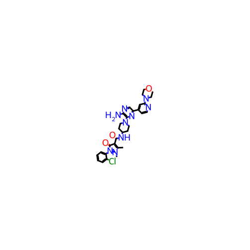 Cc1c(C(=O)NC2CCN(c3nc(-c4ccnc(N5CCOCC5)c4)cnc3N)CC2)c(=O)n(-c2ccccc2Cl)n1C